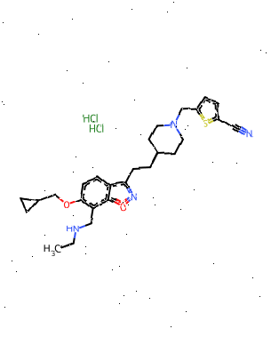 CCNCc1c(OCC2CC2)ccc2c(CCC3CCN(Cc4ccc(C#N)s4)CC3)noc12.Cl.Cl